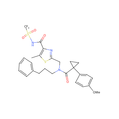 COc1ccc(C2(C(=O)N(CCCc3ccccc3)Cc3nc(C(=O)NS(=O)(=O)C(F)(F)F)c(C)s3)CC2)cc1